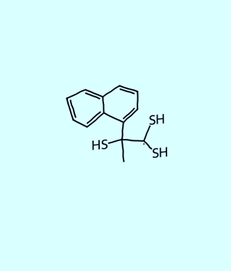 CC(S)([C](S)S)c1cccc2ccccc12